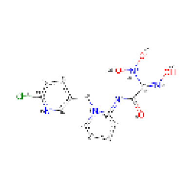 O=C(N=c1ccccn1Cc1ccc(Cl)nc1)C(=NO)[N+](=O)[O-]